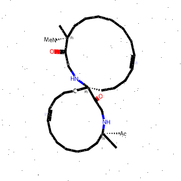 CN[C@]1(C)CCCCCC/C=C\CCC[C@]2(CCC/C=C\CCCCCC[C@@](C)(C(C)=O)NCC2=O)NCC1=O